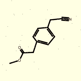 COC(=O)Cc1ccc(CC#N)cc1